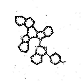 Fc1ccc(-c2nc(-n3c4ccccc4c4c5ccc6ccccc6c5c5sc6ccccc6c5c43)nc3ccccc23)cc1